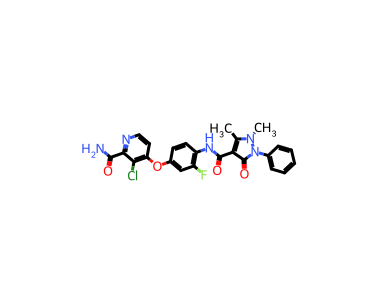 Cc1c(C(=O)Nc2ccc(Oc3ccnc(C(N)=O)c3Cl)cc2F)c(=O)n(-c2ccccc2)n1C